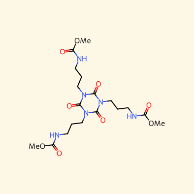 COC(=O)NCCCn1c(=O)n(CCCNC(=O)OC)c(=O)n(CCCNC(=O)OC)c1=O